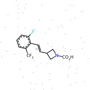 O=C(O)N1CC(/C=C/c2c(F)cccc2C(F)(F)F)C1